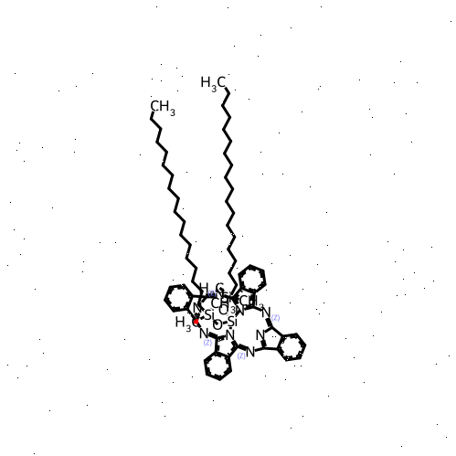 CCCCCCCCCCCCCCCCCC[Si](C)(C)O[Si]1(O[Si](C)(C)CCCCCCCCCCCCCCCCCC)n2c3c4ccccc4c2/N=C2N=C(/N=c4/c5ccccc5/c(n41)=N/C1=NC(=N\3)/c3ccccc31)c1ccccc1\2